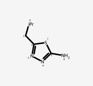 CC(C)Cc1nnc(N)s1